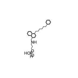 O=[PH](O)OCCCNCc1ccc(CCCCCCc2ccccc2)c2ccccc12